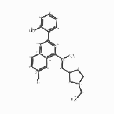 CCN1CCC(CN(C)c2nc(-c3ccccc3O)nc3ccc(F)cc23)C1